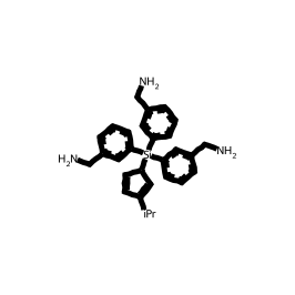 CC(C)C1=C[C]([Si](c2cccc(CN)c2)(c2cccc(CN)c2)c2cccc(CN)c2)C=C1